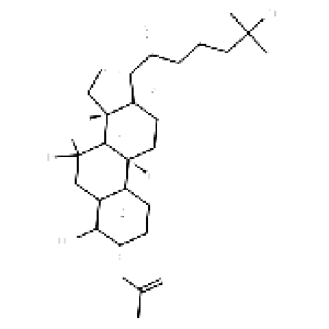 CC(=O)O[C@H]1CC[C@@]2(C)C(CC(F)(F)[C@H]3[C@@H]4CC[C@H]([C@H](C)CCCC(C)(C)O)[C@@]4(C)CC[C@@H]32)C1O